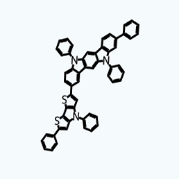 c1ccc(-c2ccc3c4cc5c(cc4n(-c4ccccc4)c3c2)c2cc(-c3cc4c(s3)c3sc(-c6ccccc6)cc3n4-c3ccccc3)ccc2n5-c2ccccc2)cc1